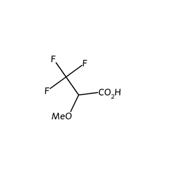 COC(C(=O)O)C(F)(F)F